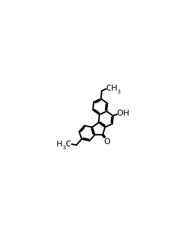 CCc1ccc2c(c1)C(=O)c1cc(O)c3cc(CC)ccc3c1-2